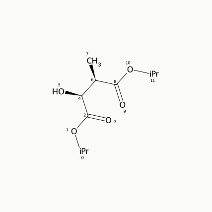 CC(C)OC(=O)[C@@H](O)[C@@H](C)C(=O)OC(C)C